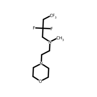 CN(CCN1CCOCC1)CC(F)(F)CC(F)(F)F